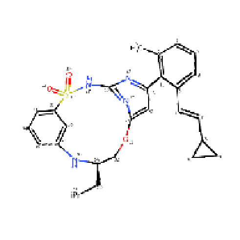 Cc1cccc(/C=C/C2CC2)c1-c1cc2nc(n1)NS(=O)(=O)c1cccc(c1)N[C@H](CC(C)C)CO2